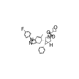 CC1=Cc2c(cnn2-c2ccc(F)cc2)CC1[C@]12CN(S(=O)(=O)C3COC3)C[C@H]1[C@@H]2c1ccccc1